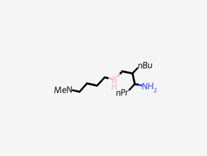 CCCCC(CBCCCCNC)C(N)CCC